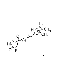 CC(C)[Si](C)(C)CCCSCCNC(=O)n1cc(F)c(=O)[nH]c1=O